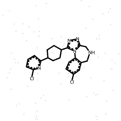 Clc1ccc2c(c1)CNCc1nnc(C3CCC(c4cccc(Cl)n4)CC3)n1-2